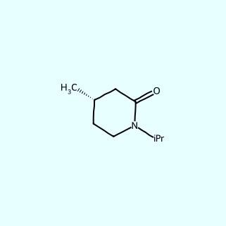 CC(C)N1CC[C@H](C)CC1=O